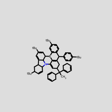 CC(C)(C)C1=CC2B3C4=C(CC(C(C)(C5=CC=CCC5)C5C=CC=CC5)C=C4N4C5C=CC(C(C)(C)C)CC5C(=C1)C24)C(c1ccc(C(C)(C)C)cc1)c1ccc(C(C)(C)C)cc13